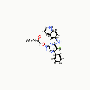 CNC(=O)CONc1nc(Nc2ccc3ncccc3c2)c(F)c(-c2ccccc2)n1